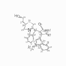 Cn1cc(C2=C(c3c4n(c5ccccc35)CC(CCO)CC4)C(=O)NC2=O)c2ccccc21